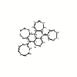 C1CCCC(N2C3CCCCCC3B3C4CCCCCC4N(C4CCCCCC4)C4CCCC2C34)CCC1